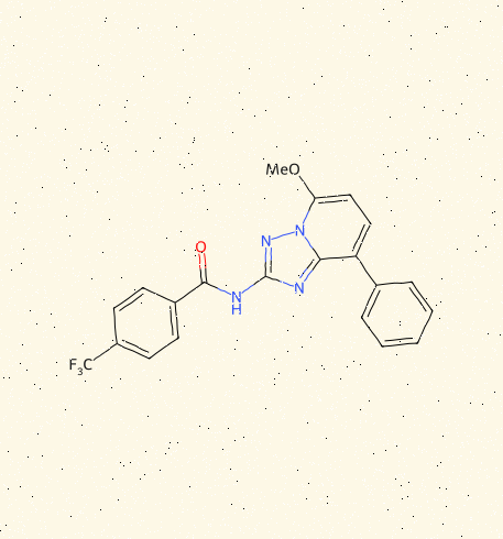 COc1ccc(-c2ccccc2)c2nc(NC(=O)c3ccc(C(F)(F)F)cc3)nn12